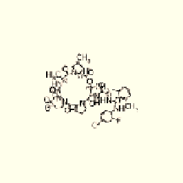 Cc1cccc(C[C@H](NC(=O)Nc2ccc(Cl)cc2F)C(=O)N[C@@H]2C(=O)N3CCC[C@H]3C(=O)N3CCS(=O)(=O)C[C@H]3C(=O)N[C@@H](C)C(=O)N3C[C@H](C)C[C@H]3C(=O)O[C@H]2C)c1